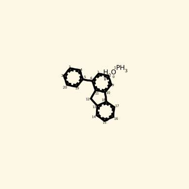 O.P.c1ccc(-c2cccc3c2Cc2ccccc2-3)cc1